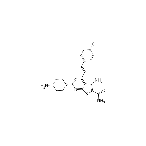 Cc1ccc(C=Cc2cc(N3CCC(N)CC3)nc3sc(C(N)=O)c(N)c23)cc1